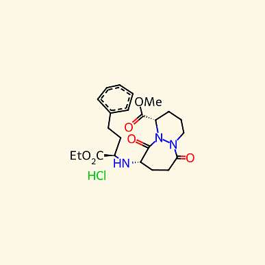 CCOC(=O)[C@@H](CCc1ccccc1)N[C@H]1CCC(=O)N2CCC[C@@H](C(=O)OC)N2C1=O.Cl